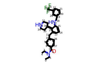 CCN(CC)C(=O)c1ccc(CC2=CC=CC(NCc3cccc(C(F)(F)F)c3)C2=C2CCNCC2)cc1